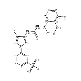 Cc1cn(-c2cccc(S(C)(=O)=O)c2)nc1NC(=O)N[C@H]1CCOc2c(Cl)cccc21